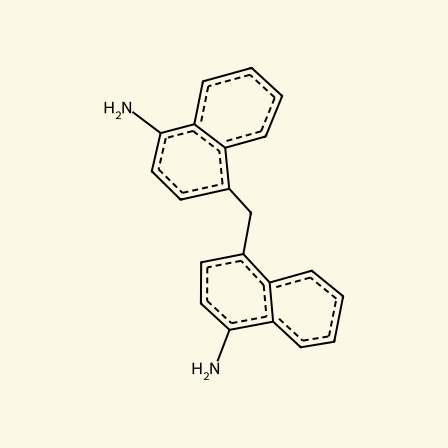 Nc1ccc(Cc2ccc(N)c3ccccc23)c2ccccc12